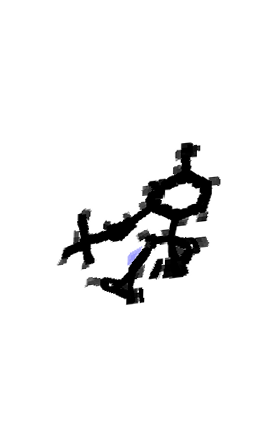 C[Si](C)(C)C#Cc1nc(Br)cnc1C1(/N=C2\BO2)BO1